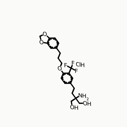 Cl.NC(CO)(CO)CCc1ccc(OCCCc2ccc3c(c2)OCO3)c(C(F)(F)F)c1